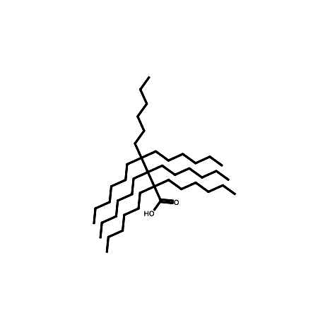 CCCCCCC(CCCCCC)(CCCCCC)C(CCCCCC)(CCCCCC)C(CCCCCC)(CCCCCC)C(=O)O